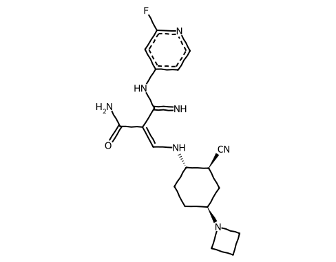 N#C[C@H]1C[C@@H](N2CCC2)CC[C@@H]1N/C=C(\C(=N)Nc1ccnc(F)c1)C(N)=O